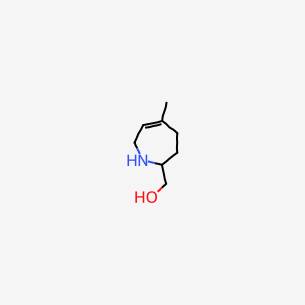 CC1=CCNC(CO)CC1